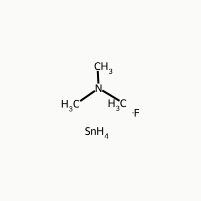 CN(C)C.[F].[SnH4]